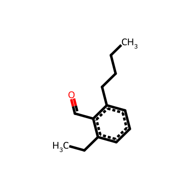 CCCCc1cccc(CC)c1C=O